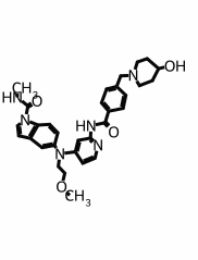 CNC(=O)n1ccc2cc(N(CCOC)c3ccnc(NC(=O)c4ccc(CN5CCC(O)CC5)cc4)c3)ccc21